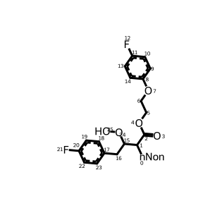 CCCCCCCCCC(C(=O)OCCOc1ccc(F)cc1)C(Cc1ccc(F)cc1)OO